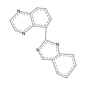 [c]1cccc2cnc(-c3cccc4nccnc34)nc12